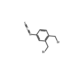 S=C=Nc1ccc(CBr)c(CBr)c1